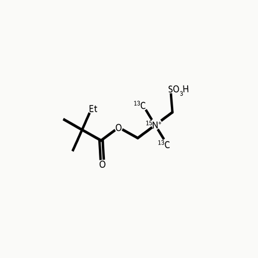 CCC(C)(C)C(=O)OC[15N+]([13CH3])([13CH3])CS(=O)(=O)O